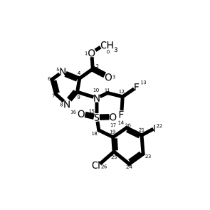 COC(=O)c1nccnc1N(CC(F)F)S(=O)(=O)Cc1cc(I)ccc1Cl